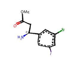 COC(=O)C[C@H](N)c1cc(Br)cc(I)c1